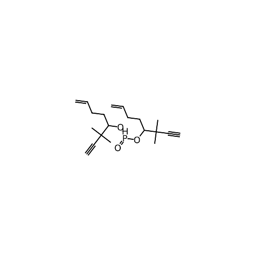 C#CC(C)(C)C(CCC=C)O[PH](=O)OC(CCC=C)C(C)(C)C#C